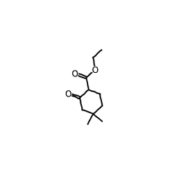 CCOC(=O)C1CCC(C)(C)CC1=O